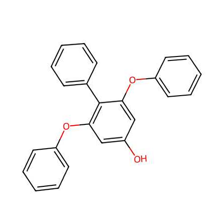 Oc1cc(Oc2ccccc2)c(-c2ccccc2)c(Oc2ccccc2)c1